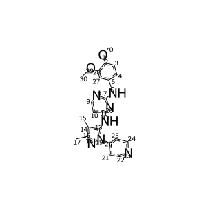 COc1ccc(Nc2nccc(Nc3c(C)c(C)nn3-c3ccncc3)n2)cc1OC